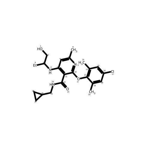 CCC(CO)Nc1cc(C)nc(Oc2c(C)cc(Cl)cc2C)c1C(=O)NCC1CC1